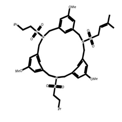 COc1cc2cc(c1)CN(S(=O)(=O)CCC(C)C)Cc1cc(cc(OC)c1)CN(S(=O)(=O)CCC(C)C)Cc1cc(cc(OC)c1)CN(S(=O)(=O)CC=C(C)C)C2